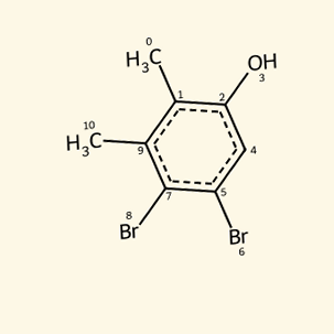 Cc1c(O)cc(Br)c(Br)c1C